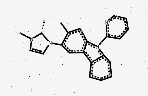 Cc1cc2c(cc1N1C=CN(C)[C@@H]1C)c1ccccc1n2-c1ccccn1